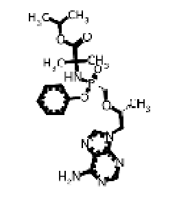 CC(C)OC(=O)C(C)(C)N[P@](=O)(CO[C@H](C)Cn1cnc2c(N)ncnc21)Oc1ccccc1